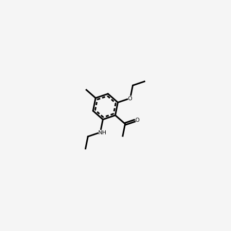 CCNc1cc(C)cc(OCC)c1C(C)=O